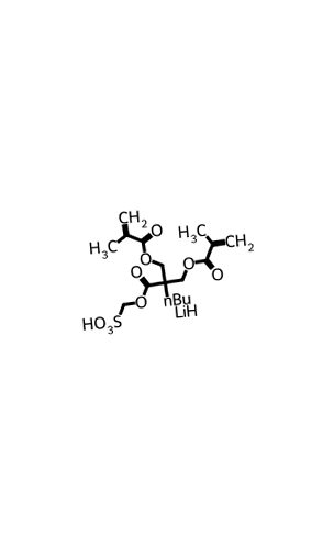 C=C(C)C(=O)OCC(CCCC)(COC(=O)C(=C)C)C(=O)OCS(=O)(=O)O.[LiH]